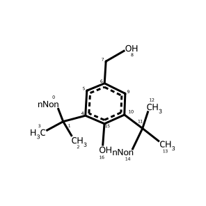 CCCCCCCCCC(C)(C)c1cc(CO)cc(C(C)(C)CCCCCCCCC)c1O